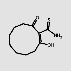 NC(=S)/C1=C(\O)CCCCCCCC1=O